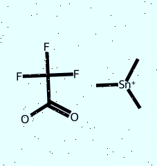 O=C([O-])C(F)(F)F.[CH3][Sn+]([CH3])[CH3]